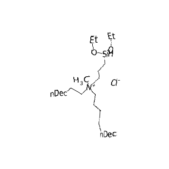 CCCCCCCCCCCCCC[N+](C)(CCCCCCCCCCCC)CCC[SiH](OCC)OCC.[Cl-]